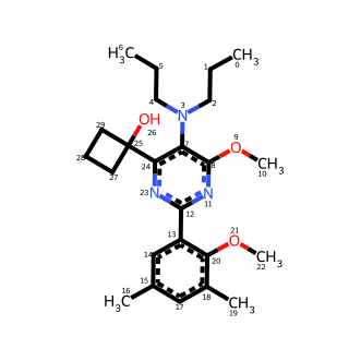 CCCN(CCC)c1c(OC)nc(-c2cc(C)cc(C)c2OC)nc1C1(O)CCC1